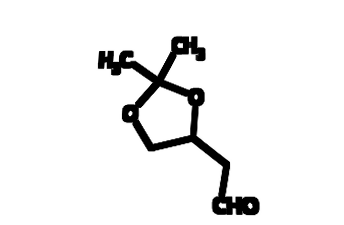 CC1(C)OCC(CC=O)O1